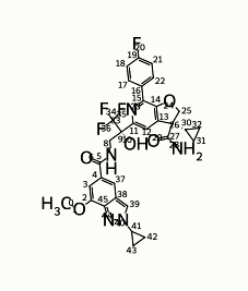 COc1cc(C(=O)NC[C@](O)(c2cc3c(c(-c4ccc(F)cc4)n2)OC[C@]3(C(N)=O)C2CC2)C(F)(F)F)cc2cn(C3CC3)nc12